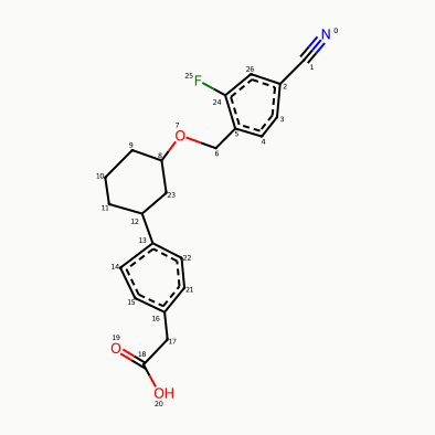 N#Cc1ccc(COC2CCCC(c3ccc(CC(=O)O)cc3)C2)c(F)c1